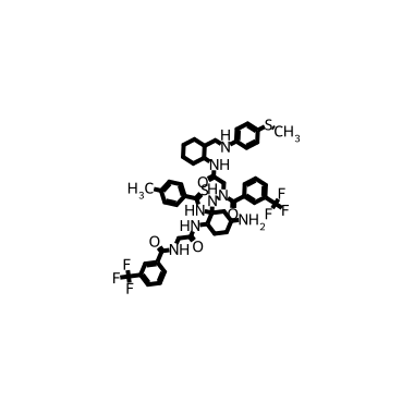 CSc1ccc(NCC2CCCCC2NC(=O)CN(NC2(NC(=S)c3ccc(C)cc3)CC(N)CCC2NC(=O)CNC(=O)c2cccc(C(F)(F)F)c2)C(=O)c2cccc(C(F)(F)F)c2)cc1